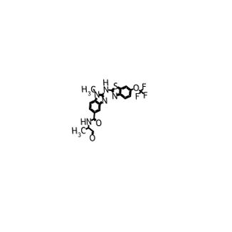 CC(C=O)NC(=O)c1ccc2c(c1)nc(Nc1nc3ccc(OC(F)(F)F)cc3s1)n2C